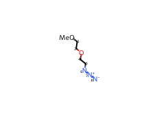 COCCOCCN=[N+]=[N-]